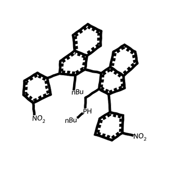 CCCCPCc1c(-c2cccc([N+](=O)[O-])c2)cc2ccccc2c1-c1c(CCCC)c(-c2cccc([N+](=O)[O-])c2)cc2ccccc12